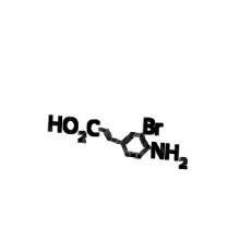 Nc1ccc(/C=C/C(=O)O)cc1Br